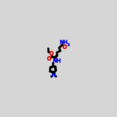 CCOC(=O)C(=CCCCC(N)=O)NCc1ccc(N(C)C)cc1